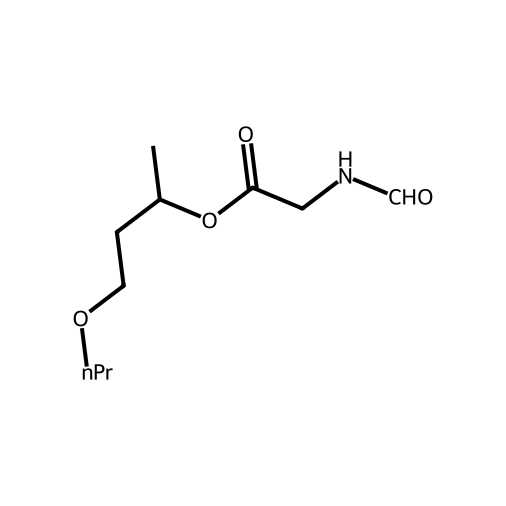 CCCOCCC(C)OC(=O)CNC=O